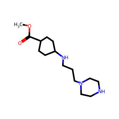 COC(=O)C1CCC(NCCCN2CCNCC2)CC1